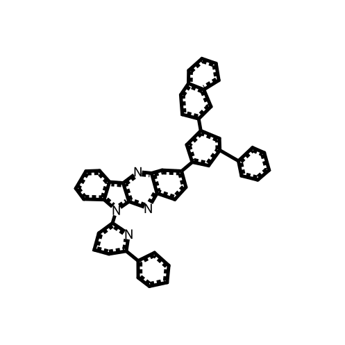 c1ccc(-c2cc(-c3ccc4ccccc4c3)cc(-c3ccc4nc5c(nc4c3)c3ccccc3n5-c3cccc(-c4ccccc4)n3)c2)cc1